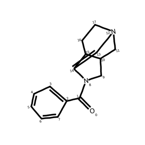 O=C(c1ccccc1)N1CC2CN3C=C1C2CC3